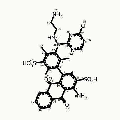 Cc1c(-c2cc(S(=O)(=O)O)c(N)c3c2C(=O)c2ccccc2C3=O)c(C)c(S(=O)(=O)O)c(C)c1N(NCCN)c1ncnc(Cl)n1